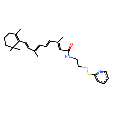 CC(C=CC1=C(C)CCCC1(C)C)=CC=CC(C)=CC(=O)NCCSSc1ccccn1